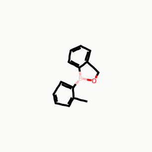 Cc1ccccc1B1OCc2ccccc21